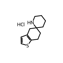 Cl.c1cc2c(s1)CCC1(CCCCN1)C2